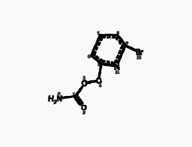 NC(=O)OOc1cccc(Br)n1